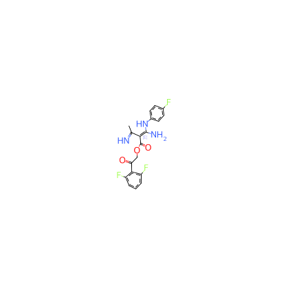 CC(=N)/C(C(=O)OCC(=O)c1c(F)cccc1F)=C(/N)Nc1ccc(F)cc1